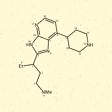 CCC(CCNC)c1nc2c(C3CCNCC3)ccnc2[nH]1